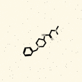 CN(C)CC(=O)NC1CCN(Cc2ccccc2)CC1